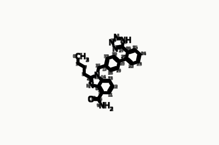 CCCCc1nc2c(C(N)=O)cccc2n1Cc1ccc(-c2ccccc2-c2nnn[nH]2)cc1